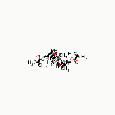 C=C(C)C(=O)OCCC[Si](C)(C)O[SiH](C)O[Si](C)(C)O[Si](C)(C)CCCOC(=O)C(=C)C